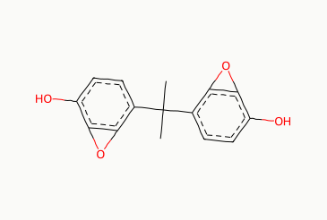 CC(C)(c1ccc(O)c2c1O2)c1ccc(O)c2c1O2